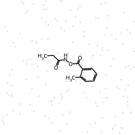 CCC(=O)NOC(=O)c1ccccc1C